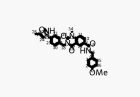 COc1ccc(CNC(=O)c2ccc3c(c2)c(=O)n(Cc2ccc(N4C=C(C)ON4)cc2)c(=O)n3C)cc1